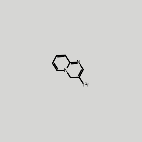 CC(C)C1=CN=C2C=CC=CN2C1